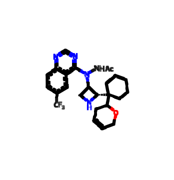 CC(=O)NN(c1ncnc2ccc(C(F)(F)F)cc12)C1CN[C@H]1C1(C2CC=CCO2)CCCCC1